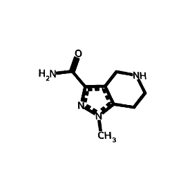 Cn1nc(C(N)=O)c2c1CCNC2